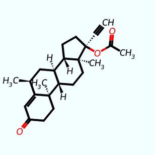 C#C[C@@]1(OC(C)=O)CC[C@H]2[C@@H]3C[C@H](C)C4=CC(=O)CC[C@]4(C)[C@H]3CC[C@@]21C